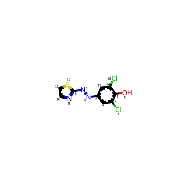 Oc1c(Cl)cc(N=Nc2nccs2)cc1Cl